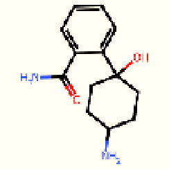 NC(=O)c1ccccc1C1(O)CCC(N)CC1